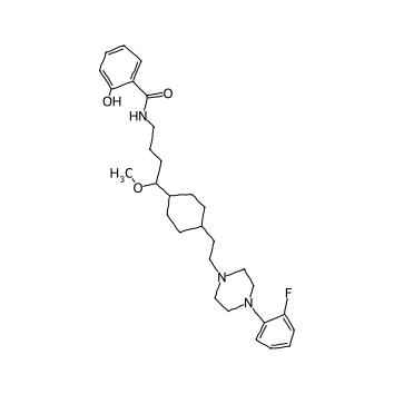 COC(CCCNC(=O)c1ccccc1O)C1CCC(CCN2CCN(c3ccccc3F)CC2)CC1